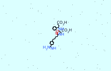 N=C(N)c1ccc(CCCCC(=O)N[C@@H](CC(=O)O)C(=O)NC(CCC(=O)O)c2ccccc2)cc1